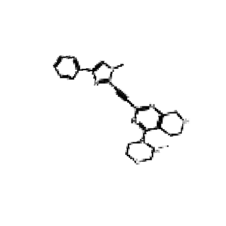 C[C@@H]1COCCN1c1nc(C#Cc2nc(-c3ccccc3)cn2C)nc2c1CCNC2